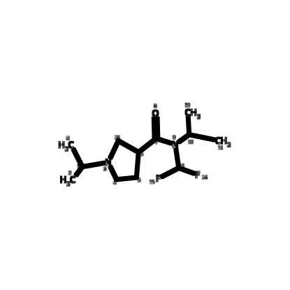 CC(C)N1CCC(C(=O)N(C(C)C)C(F)F)C1